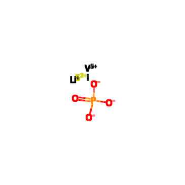 O=P([O-])([O-])[O-].[Li+].[S+2].[V+5]